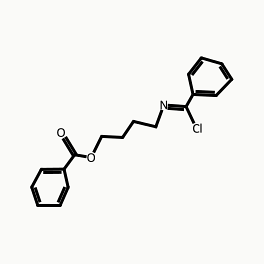 O=C(OCCCC/N=C(\Cl)c1ccccc1)c1ccccc1